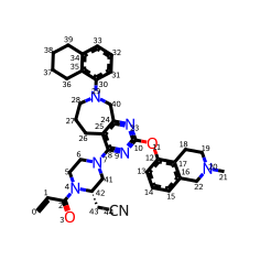 C=CC(=O)N1CCN(c2nc(Oc3cccc4c3CCN(C)C4)nc3c2CCCN(c2cccc4c2CCCC4)C3)C[C@@H]1CC#N